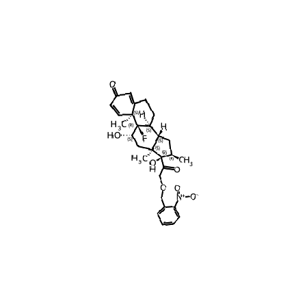 C[C@@H]1C[C@H]2[C@@H]3CCC4=CC(=O)C=C[C@]4(C)[C@@]3(F)[C@@H](O)C[C@]2(C)[C@@]1(O)C(=O)COCc1ccccc1[N+](=O)[O-]